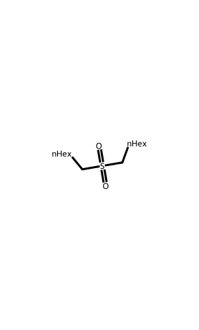 CCCCCCCS(=O)(=O)CCCCCCC